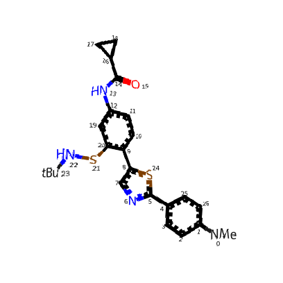 CNc1ccc(-c2ncc(-c3ccc(NC(=O)C4CC4)cc3SNC(C)(C)C)s2)cc1